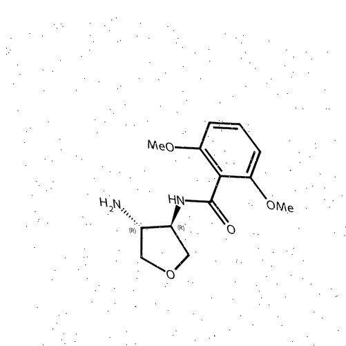 COc1cccc(OC)c1C(=O)N[C@H]1COC[C@@H]1N